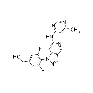 Cc1cc(Nc2cc3c(cn2)cnn3-c2c(F)cc(CO)cc2F)ncn1